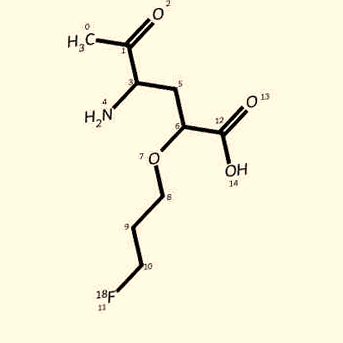 CC(=O)C(N)CC(OCCC[18F])C(=O)O